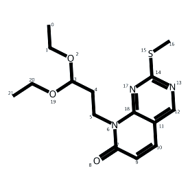 CCOC(CCn1c(=O)ccc2cnc(SC)nc21)OCC